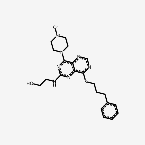 [O-][S+]1CCN(c2nc(NCCO)nc3c(SCCCc4ccccc4)ncnc23)CC1